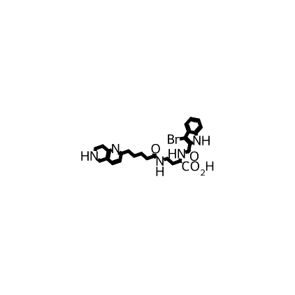 O=C(CCCCc1ccc2c(n1)CCNC2)NCC[C@H](NC(=O)c1[nH]c2ccccc2c1Br)C(=O)O